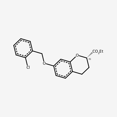 CCOC(=O)[C@@H]1CCc2ccc(OCc3ccccc3Cl)cc2O1